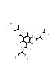 CC(=O)OC(C)C(=O)Nc1c(C)c(C(=O)NC(CO)CO)c(C)c(C(=O)NC(CO)CO)c1C